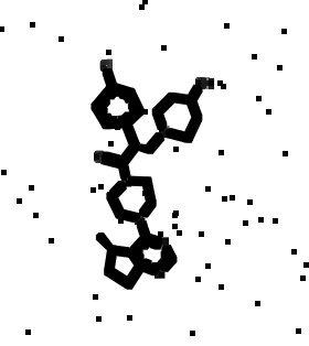 C[C@@H]1CCc2ncnc(N3CCN(C(=O)[C@H](CN4CCC(O)CC4)c4ccc(Cl)cc4)CC3)c21